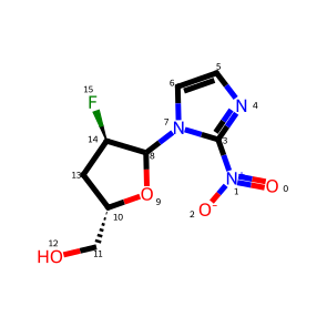 O=[N+]([O-])c1nccn1C1O[C@H](CO)C[C@H]1F